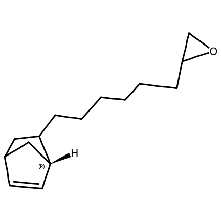 C1=C[C@@H]2CC1CC2CCCCCCC1CO1